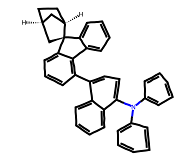 c1ccc(N(c2ccccc2)c2ccc(-c3cccc4c3-c3ccccc3[C@]43C[C@H]4CC[C@@H]3C4)c3ccccc23)cc1